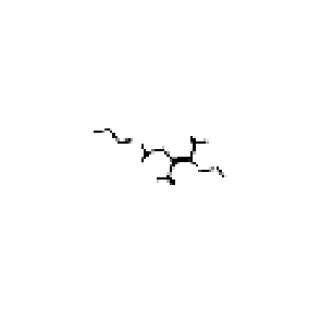 CCCOC(=O)C/C(C(=O)O)=C(/CCC)C(=O)O